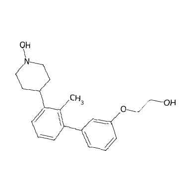 Cc1c(-c2cccc(OCCO)c2)cccc1C1CCN(O)CC1